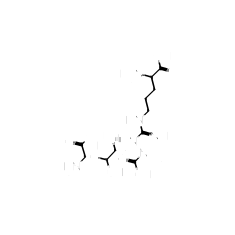 CC(N)=O.CC(O)CO.N=C(N)NCCCC(N)C(=O)O.NCC(=O)O